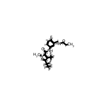 CCC(=O)NCc1cc(NC(=O)c2c(C(F)(F)F)c(C(F)(F)C(F)(F)F)nn2C)ccc1F